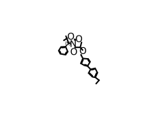 CCc1ccc(-c2ccc(COC(C)C(=O)N3C(=O)OC(C)(C)[C@@H]3c3ccccc3)cc2)cc1